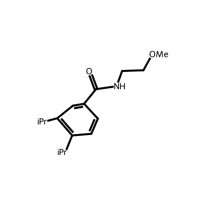 COCCNC(=O)c1ccc(C(C)C)c(C(C)C)c1